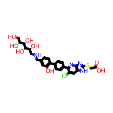 O=C(O)CSc1nc2nc(-c3ccc(-c4ccc(CNC[C@H](O)[C@@H](O)[C@H](O)[C@H](O)CO)cc4O)cc3)c(Cl)cc2[nH]1